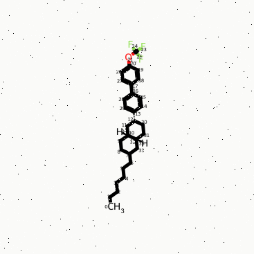 CCCCCCCC1CC[C@@H]2C[C@H](c3ccc(-c4ccc(OC(F)(F)F)cc4)cc3)CC[C@@H]2C1